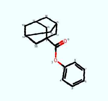 O=C(Oc1cc[c]cc1)C12CC3CC(CC(C3)C1)C2